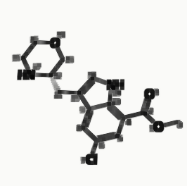 COC(=O)c1cc(Cl)cc2c(C[C@H]3COCCN3)c[nH]c12